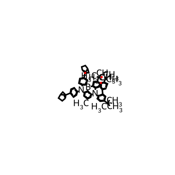 Cc1cc2c3c(c1)N(c1ccc(C(C)(C)C)cc1-c1ccc(C(C)(C)C)cc1)c1ccc(C(C)(C)C)cc1B3c1cc(C3CC4CCC3C4)ccc1N2c1ccc(C2CC3CCC2C3)cc1